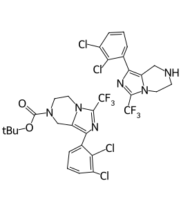 CC(C)(C)OC(=O)N1CCn2c(C(F)(F)F)nc(-c3cccc(Cl)c3Cl)c2C1.FC(F)(F)c1nc(-c2cccc(Cl)c2Cl)c2n1CCNC2